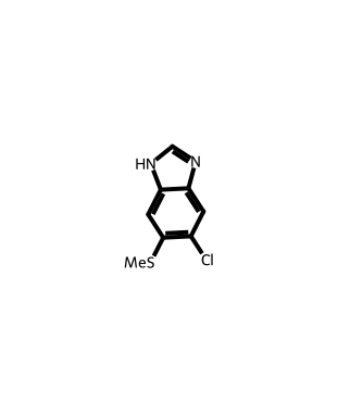 CSc1cc2[nH]cnc2cc1Cl